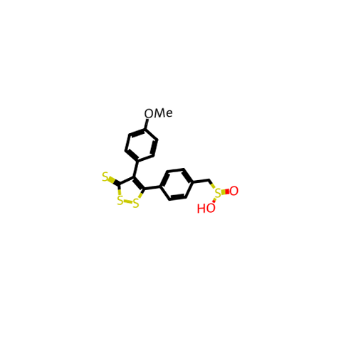 COc1ccc(-c2c(-c3ccc(CS(=O)O)cc3)ssc2=S)cc1